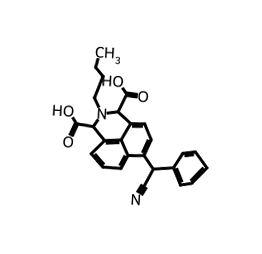 CCCCN1C(C(=O)O)c2cccc3c(C(C#N)c4ccccc4)ccc(c23)C1C(=O)O